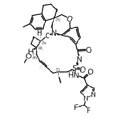 CO[C@H]1/C=C/C[C@H](C)C[S@@](=O)(NC(=O)c2cnn(C(F)F)c2)=NC(=O)c2ccc3c(c2)N(C[C@@H]2CC[C@H]21)C[C@@]1(CCCc2cc(C)ccc21)CO3